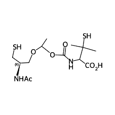 CC(=O)N[C@@H](CS)COC(C)OC(=O)NC(C(=O)O)C(C)(C)S